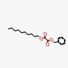 CCCCCCCCCCOC(=O)C(=O)OCc1ccccc1